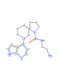 NCCNC(=O)N1CCCC12CCCN(c1ncnc3[nH]ccc13)C2